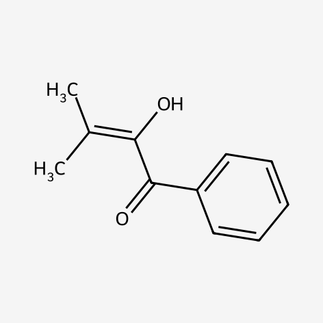 CC(C)=C(O)C(=O)c1ccccc1